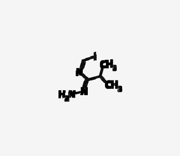 CC(C)C(/N=C\I)=N/N